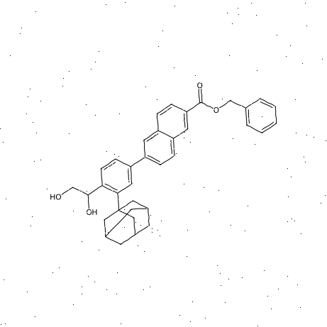 O=C(OCc1ccccc1)c1ccc2cc(-c3ccc(C(O)CO)c(C45CC6CC(CC(C6)C4)C5)c3)ccc2c1